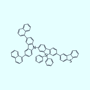 c1ccc([Si]2(c3ccccc3)c3cc(-c4ccc5sc6ccccc6c5c4)ccc3-c3ccc(-n4c5ccc(-c6cccc7ccccc67)cc5c5cc(-c6cccc7ccccc67)ccc54)cc32)cc1